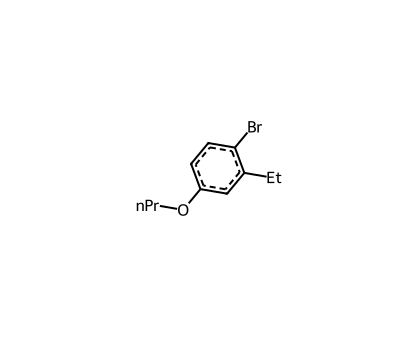 CCCOc1ccc(Br)c(CC)c1